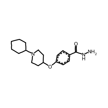 NNC(=O)c1ccc(OC2CCN(C3CCCCC3)CC2)cc1